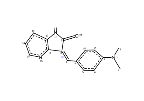 CN(C)c1ccc(/C=C2\C(=O)Nc3cccnc32)cc1